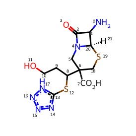 NC1C(=O)N2CC(C(=O)O)(C(CCO)Sc3nnn[nH]3)CS[C@H]12